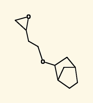 C(CC1CO1)OC1CC2CCC1C2